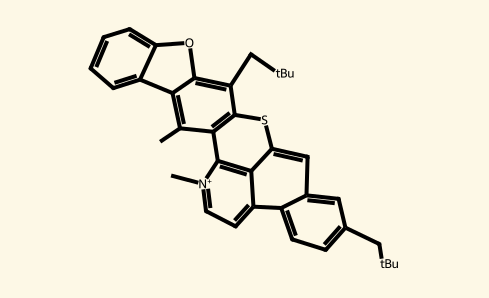 Cc1c2c(c(CC(C)(C)C)c3oc4ccccc4c13)Sc1cc3cc(CC(C)(C)C)ccc3c3cc[n+](C)c-2c13